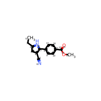 CCc1cc(C#N)c(-c2ccc(C(=O)OC)cc2)[nH]1